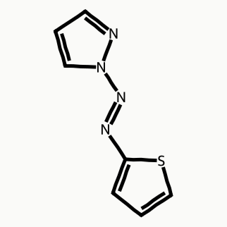 c1csc(/N=N/n2cccn2)c1